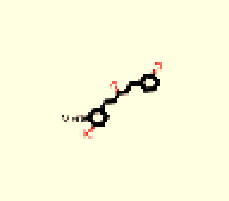 COc1cc(/C=C/C(=O)/C=C/c2cccc(O)c2)ccc1O